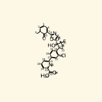 CC1C=CC=C(c2ncc(C(O)(C(C)c3ccc(-c4cccc(C(=O)O)n4)cc3Cl)C(F)(F)F)o2)C1=O